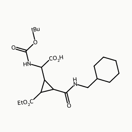 CCOC(=O)C1C(C(=O)NCC2CCCCC2)C1C(NC(=O)OC(C)(C)C)C(=O)O